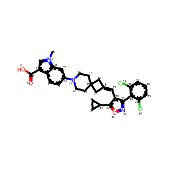 Cn1cc(C(=O)O)c2ccc(N3CCC4(CC3)CC(=Cc3c(-c5c(Cl)cccc5Cl)noc3C3CC3)C4)cc21